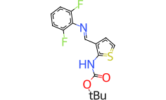 CC(C)(C)OC(=O)Nc1sccc1/C=N/c1c(F)cccc1F